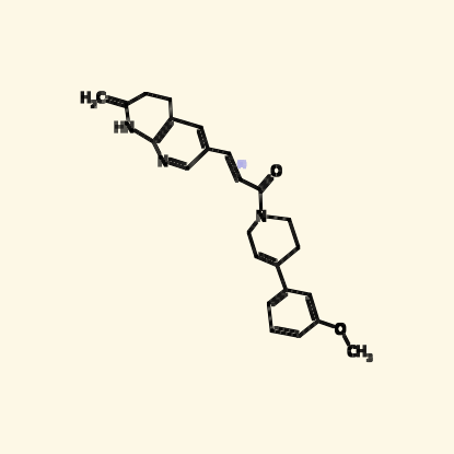 C=C1CCc2cc(/C=C/C(=O)N3CC=C(c4cccc(OC)c4)CC3)cnc2N1